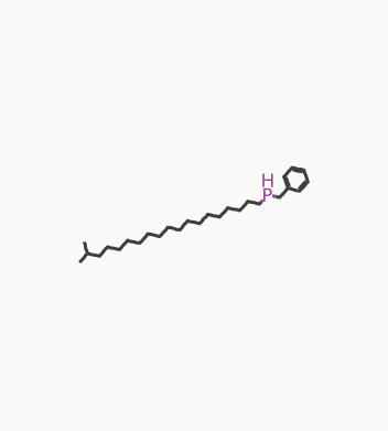 CC(C)CCCCCCCCCCCCCCCCCPCc1ccccc1